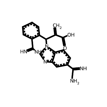 C=C(C(=O)O)C(c1ccccc1C(=N)N)n1cnc2cc(C(=N)N)ccc21